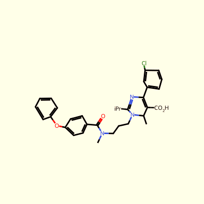 CC(C)C1=NC(c2cccc(Cl)c2)=C(C(=O)O)C(C)N1CCCN(C)C(=O)c1ccc(Oc2ccccc2)cc1